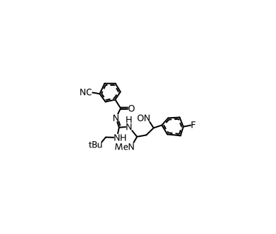 CNC(CC(N=O)c1ccc(F)cc1)N/C(=N\C(=O)c1cccc(C#N)c1)NCC(C)(C)C